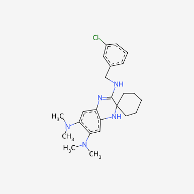 CN(C)c1cc2c(cc1N(C)C)NC1(CCCCC1)C(NCc1cccc(Cl)c1)=N2